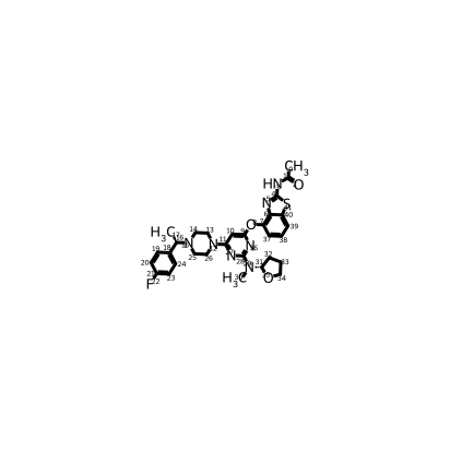 CC(=O)Nc1nc2c(Oc3cc(N4CCN([C@H](C)c5ccc(F)cc5)CC4)nc(N(C)[C@@H]4CCCO4)n3)cccc2s1